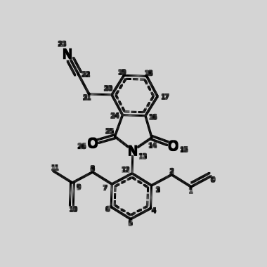 C=CCc1cccc(CC(=C)C)c1N1C(=O)c2cccc(CC#N)c2C1=O